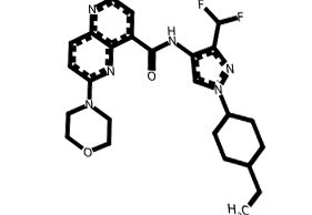 CCC1CCC(n2cc(NC(=O)c3ccnc4ccc(N5CCOCC5)nc34)c(C(F)F)n2)CC1